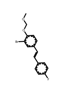 COCOc1ccc(/C=C/c2ccc(F)cc2)cc1Br